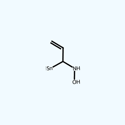 C=C[CH]([Sn])NO